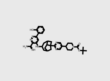 CC(C)(C)OC(=O)N1CCC(c2cnc(C34CC5CC(Nc6cc(-c7ccccc7O)nnc6C(=N)N)CC(C3)C4C5)nc2)CC1